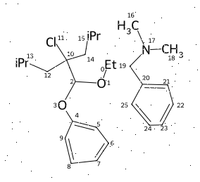 CCOC(Oc1ccccc1)C(Cl)(CC(C)C)CC(C)C.CN(C)Cc1ccccc1